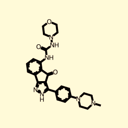 CN1CCN(c2ccc(-c3[nH]nc4c3C(=O)c3c(NC(=O)NN5CCOCC5)cccc3-4)cc2)CC1